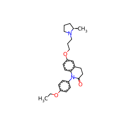 CCOc1ccc(N2C(=O)CCc3cc(OCCCN4CCC[C@H]4C)ccc32)cc1